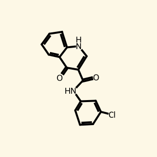 O=C(Nc1cccc(Cl)c1)c1c[nH]c2ccccc2c1=O